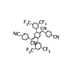 N#C/C(c1ccc(C#N)cc1)=c1/cc(-c2cc(C(F)(F)F)cc(C(F)(F)F)c2)/c(=C(\C#N)c2ccc(C#N)cc2)cc1-c1cc(C(F)(F)F)cc(C(F)(F)F)c1